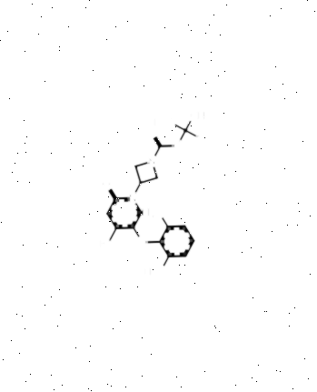 Cc1cccc(C)c1Oc1cn(C2CN(C(=O)OC(C)(C)C)C2)c(=O)cc1Br